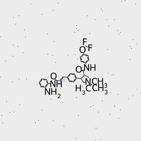 CC(C)(C)N1CC(C(=O)Nc2ccc(OC(F)F)cc2)C(c2ccc(/C=C/C(=O)Nc3ccccc3N)cc2)C1